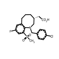 CS(=O)(=O)c1cc(F)cc2c1N(Cc1ccc(Cl)cc1)C[C@@H](CC(=O)O)CCC2